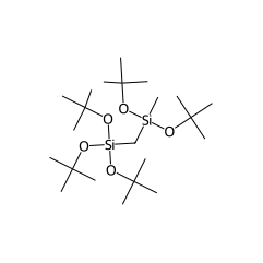 CC(C)(C)O[Si](C)(C[Si](OC(C)(C)C)(OC(C)(C)C)OC(C)(C)C)OC(C)(C)C